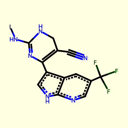 N#CC1=C(c2c[nH]c3ncc(C(F)(F)F)cc23)N=C(NI)NC1